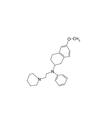 COc1ccc2c(c1)CCC(N(CCN1CCCCC1)c1ccccc1)C2